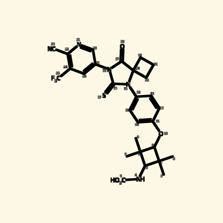 CC1(C)C(NC(=O)O)C(C)(C)C1Oc1ccc(N2C(=S)N(c3cnc(C#N)c(C(F)(F)F)c3)C(=O)C23CCC3)cc1